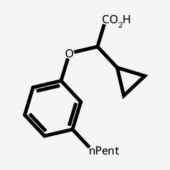 CCCCCc1cccc(OC(C(=O)O)C2CC2)c1